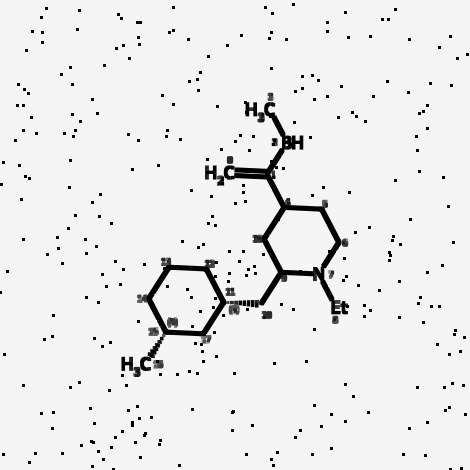 C=C(BC)C1CCN(CC)C(C[C@H]2CCC[C@@H](C)C2)C1